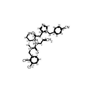 C=CCNC(=S)N(Cc1cccc(Cl)c1Cl)C[C@H](CC(C)C)NC(=O)Cc1cncn1Cc1ccc(C#N)cc1